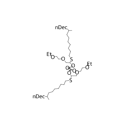 CCCCCCCCCCC(C)CCCCCCCSC(COCCOCC)OS(=O)(=O)OC(COCCOCC)SCCCCCCCC(C)CCCCCCCCCC